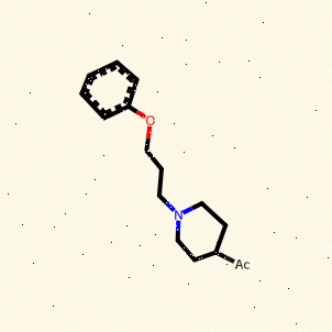 CC(=O)C1CCN(CCCOc2ccccc2)CC1